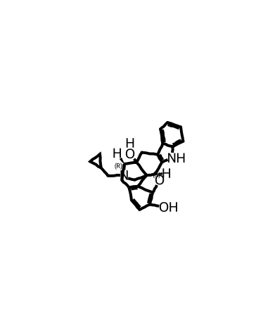 Oc1ccc2c3c1O[C@H]1c4[nH]c5ccccc5c4CC4(O)[C@@H](C2)N(CC2CC2)CCC314